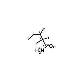 CCC(C)C(C)(C)[S+](N)[O-]